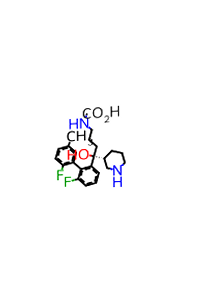 Cc1ccc(F)c(-c2c(F)cccc2C(O)(CCCNC(=O)O)[C@@H]2CCCNC2)c1